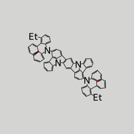 CCc1cccc(N(c2ccccc2)c2ccc3c4cc5c(cc4n4c6ccccc6c2c34)c2ccc(N(c3ccccc3)c3cccc(CC)c3-c3ccccc3)c3c4ccccc4n5c23)c1-c1ccccc1